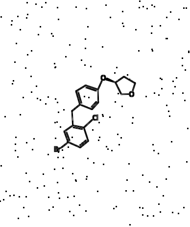 Clc1ccc(Br)cc1Cc1ccc(O[C@H]2CCOC2)cc1